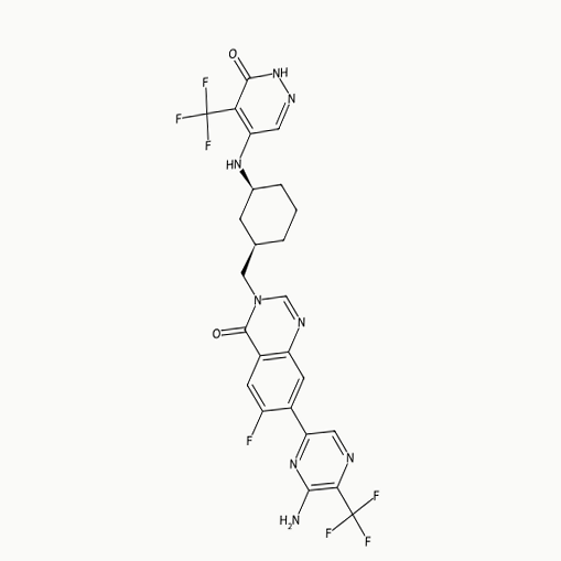 Nc1nc(-c2cc3ncn(C[C@@H]4CCC[C@H](Nc5cn[nH]c(=O)c5C(F)(F)F)C4)c(=O)c3cc2F)cnc1C(F)(F)F